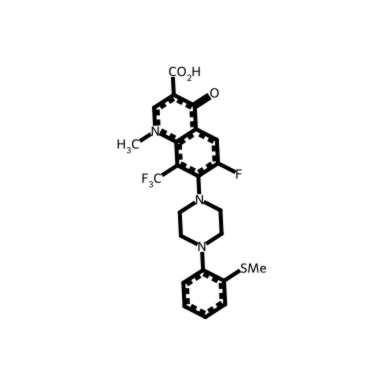 CSc1ccccc1N1CCN(c2c(F)cc3c(=O)c(C(=O)O)cn(C)c3c2C(F)(F)F)CC1